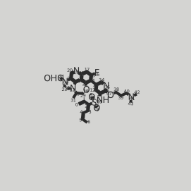 C=C/C(=C\C=C/C)S(=O)(=O)Nc1cc(-c2c(F)cc3ncc(N(C)C=O)c4c3c2OCC(C)N4C)cnc1OCCCN(C)C